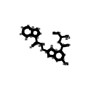 COC(OC(=O)c1cc(C#N)cc2cc(CNC(=O)c3cnn4cccnc34)oc12)C(F)(F)F